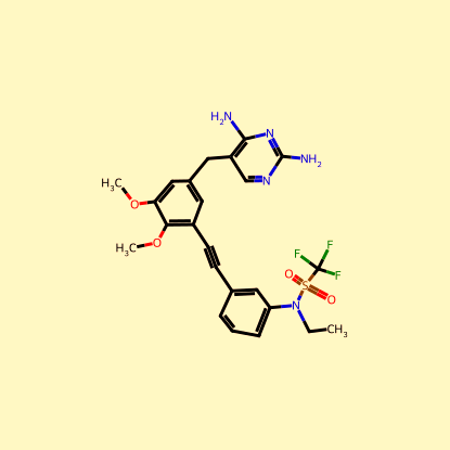 CCN(c1cccc(C#Cc2cc(Cc3cnc(N)nc3N)cc(OC)c2OC)c1)S(=O)(=O)C(F)(F)F